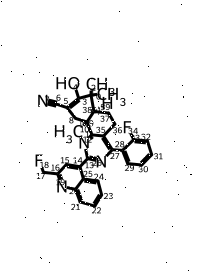 CC1(C)C(O)=C(C#N)C[C@@]2(C)c3nc(-c4cc(CF)nc5ccccc45)nc(-c4ccccc4F)c3CC[C@H]12